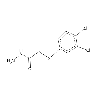 NNC(=O)CSc1ccc(Cl)c(Cl)c1